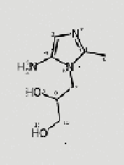 Cc1ncc(N)n1CC(O)CO